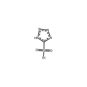 CCS(=O)(=O)c1nnn[nH]1